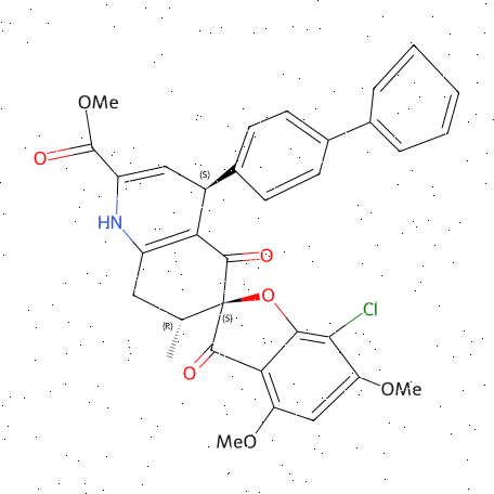 COC(=O)C1=C[C@@H](c2ccc(-c3ccccc3)cc2)C2=C(C[C@@H](C)[C@]3(Oc4c(Cl)c(OC)cc(OC)c4C3=O)C2=O)N1